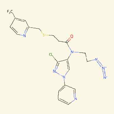 [N-]=[N+]=NCCN(C(=O)CCSCc1cc(C(F)(F)F)ccn1)c1cn(-c2cccnc2)nc1Cl